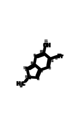 CC(C)c1cc2cn(C)nc2cc1O